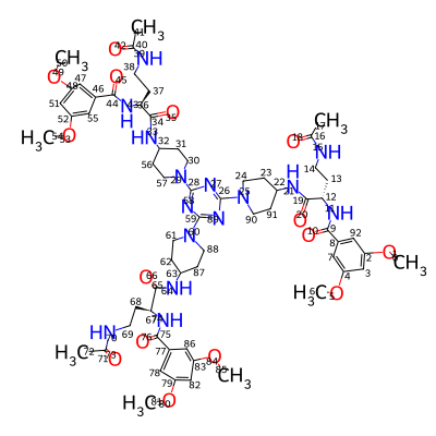 COc1cc(OC)cc(C(=O)N[C@@H](CCNC(C)=O)C(=O)NC2CCN(c3nc(N4CCC(NC(=O)[C@H](CCNC(C)=O)NC(=O)c5cc(OC)cc(OC)c5)CC4)nc(N4CCC(NC(=O)[C@H](CCNC(C)=O)NC(=O)c5cc(OC)cc(OC)c5)CC4)n3)CC2)c1